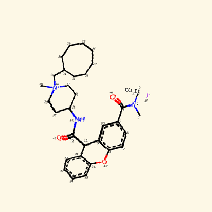 CCOC(=O)N(C)C(=O)c1ccc2c(c1)C(C(=O)NC1CC[N+](C)(CC3CCCCCCC3)CC1)c1ccccc1O2.[I-]